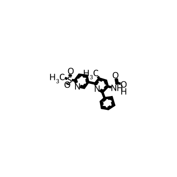 Cc1cc(NC(=O)O)c(-c2ccccc2)nc1-c1ccc(S(C)(=O)=O)nc1